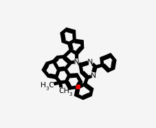 CC1(C)c2ccccc2-c2c3c1cccc3cc1c3c4ccccc4ccc3n(-c3cc(-c4ccccc4)nc(-c4ccccc4)n3)c21